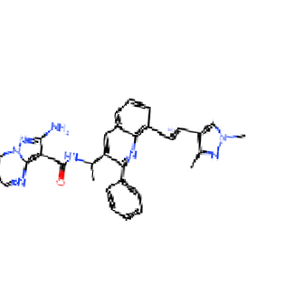 Cc1nn(C)cc1/C=C/c1cccc2cc(C(C)NC(=O)c3c(N)nn4cccnc34)c(-c3ccccc3)nc12